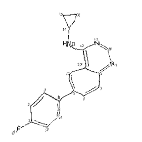 Fc1ccc(-c2ccc3ncnc(NC4CC4)c3c2)cc1